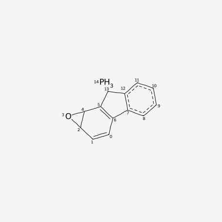 C1=CC2OC2C2=C1c1ccccc1C2.P